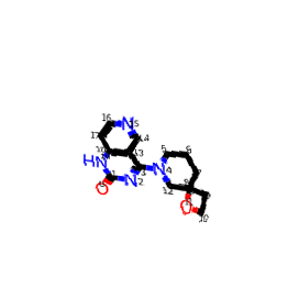 O=c1nc(N2CCCC3(CCO3)C2)c2cnccc2[nH]1